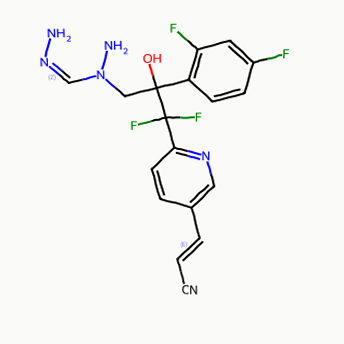 N#C/C=C/c1ccc(C(F)(F)C(O)(CN(N)/C=N\N)c2ccc(F)cc2F)nc1